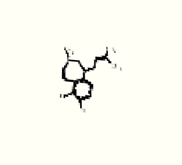 CC(C)=CCC1CN(C)CCc2c1ccc(O)c2Cl